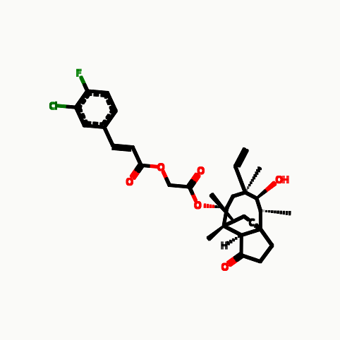 C=C[C@]1(C)C[C@@H](OC(=O)COC(=O)/C=C/c2ccc(F)c(Cl)c2)[C@]2(C)[C@H](C)CC[C@]3(CCC(=O)[C@H]32)[C@@H](C)[C@@H]1O